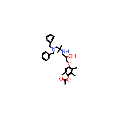 CC(=O)Oc1c(C)cc(OCC(O)CNC(C)(C)CN(Cc2ccccc2)Cc2ccccc2)c(C)c1C